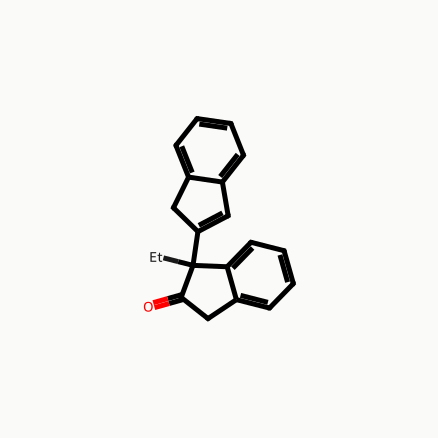 CCC1(C2=Cc3ccccc3C2)C(=O)Cc2ccccc21